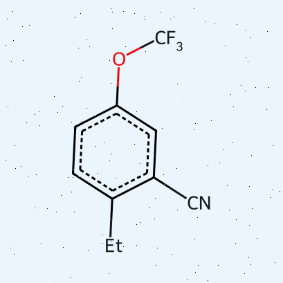 CCc1ccc(OC(F)(F)F)cc1C#N